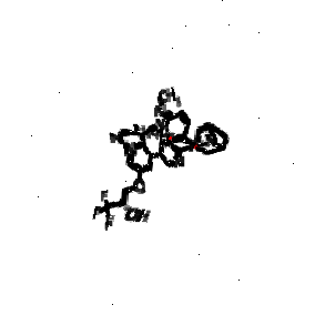 C=C(/C=C\C(=N/C)OC)CN1C2CC1CN(c1ccc(-c3cc(OC[C@H](O)C(F)(F)F)cn4ncc(C#N)c34)cn1)C2